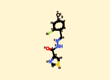 O=C(N/N=C/c1ccc(C(F)(F)F)cc1F)c1cscn1